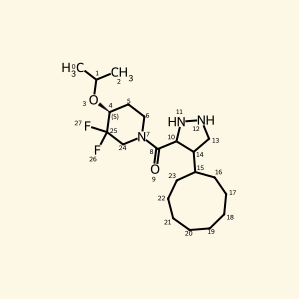 CC(C)O[C@H]1CCN(C(=O)C2NNCC2C2CCCCCCCC2)CC1(F)F